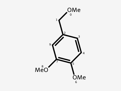 [CH2]OCc1ccc(OC)c(OC)c1